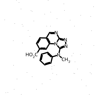 CN(c1ccccc1)c1nnc2ncc3ccc(C(=O)O)cc3n12